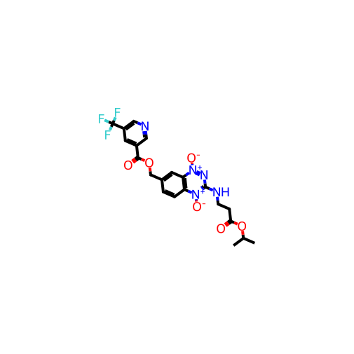 CC(C)OC(=O)CCNc1n[n+]([O-])c2cc(COC(=O)c3cncc(C(F)(F)F)c3)ccc2[n+]1[O-]